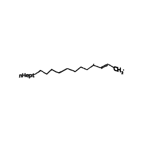 [CH2]C=C[CH]CCCCCCCCCCCCCCC